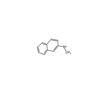 [CH3][Sn][c]1ccc2ccccc2c1